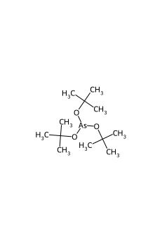 CC(C)(C)O[As](OC(C)(C)C)OC(C)(C)C